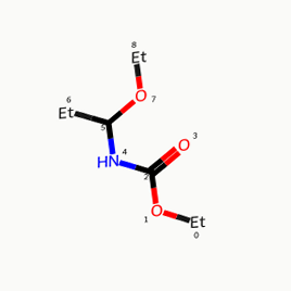 CCOC(=O)NC(CC)OCC